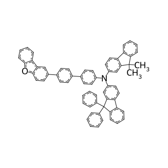 CC1(C)c2ccccc2-c2ccc(N(c3ccc(-c4ccc(-c5ccc6oc7ccccc7c6c5)cc4)cc3)c3ccc4c(c3)C(c3ccccc3)(c3ccccc3)c3ccccc3-4)cc21